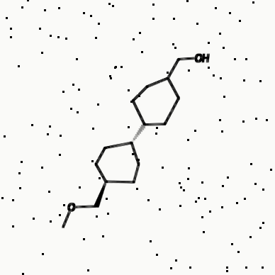 COC[C@H]1CC[C@H](C2CCC(CO)CC2)CC1